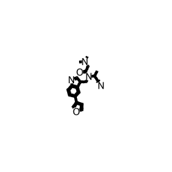 CC(C#N)N(CC1C=Nc2ccc(-c3ccoc3)cc21)C(=O)CN(C)C